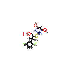 COc1cc(OC)nc(SC(CO)C(C)(C)c2cc(F)ccc2F)n1